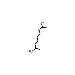 CC(C)C(=O)NCCCCC(C)C(=O)O